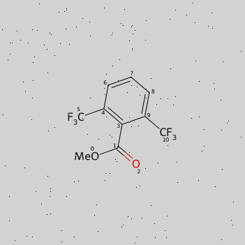 COC(=O)c1c(C(F)(F)F)cccc1C(F)(F)F